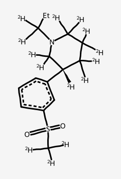 [2H]C([2H])(CC)N1C([2H])([2H])C([2H])([2H])C([2H])([2H])[C@]([2H])(c2cccc(S(=O)(=O)C([2H])([2H])[2H])c2)C1([2H])[2H]